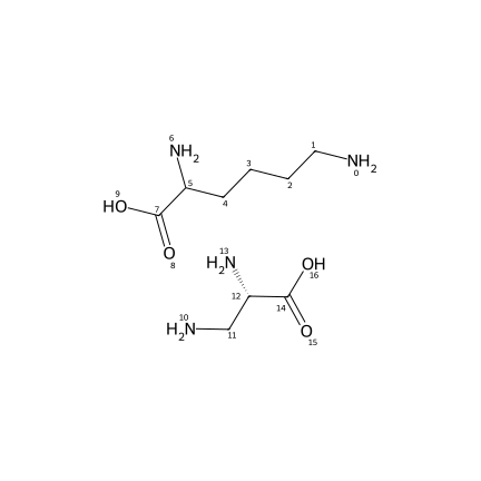 NCCCCC(N)C(=O)O.NC[C@H](N)C(=O)O